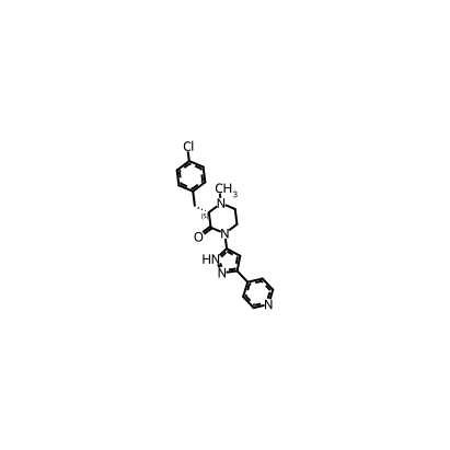 CN1CCN(c2cc(-c3ccncc3)n[nH]2)C(=O)[C@@H]1Cc1ccc(Cl)cc1